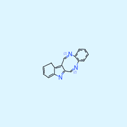 C1=CCC2=C3/C=N\c4ccccc4/N=C\C3=NC2=C1